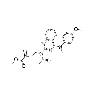 COC(=O)NCCN(C(C)=O)c1nc(N(C)c2ccc(OC)cc2)c2ccccc2n1